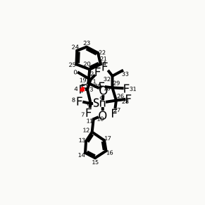 CC(F)C(F)(F)[C](F)(F)[Sn]([O]Cc1ccccc1)([O]Cc1ccccc1)[C](F)(F)C(F)(F)C(C)F